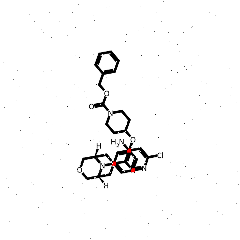 Nc1cc(Cl)nnc1N1C[C@H]2COC[C@@H](C1)N2c1cccc(OC2CCN(C(=O)OCc3ccccc3)CC2)c1